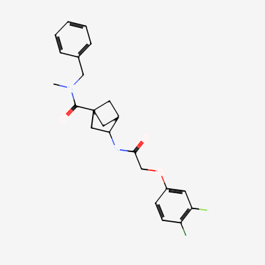 CN(Cc1ccccc1)C(=O)C12CC(C1)C(NC(=O)COc1ccc(Cl)c(F)c1)C2